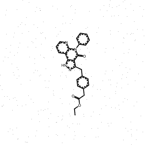 CCOC(=O)Cc1ccc(Cc2n[nH]c3c2c(=O)n(-c2ccccc2)c2ncccc32)cc1